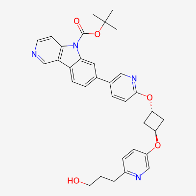 CC(C)(C)OC(=O)n1c2ccncc2c2ccc(-c3ccc(O[C@H]4C[C@H](Oc5ccc(CCCO)nc5)C4)nc3)cc21